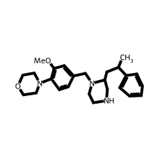 COc1cc(CN2CCNCC2CC(C)c2ccccc2)ccc1N1CCOCC1